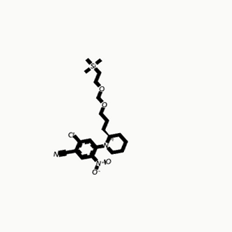 C[Si](C)(C)CCOCOCCC[C@H]1CCCCN1c1cc(Cl)c(C#N)cc1[N+](=O)[O-]